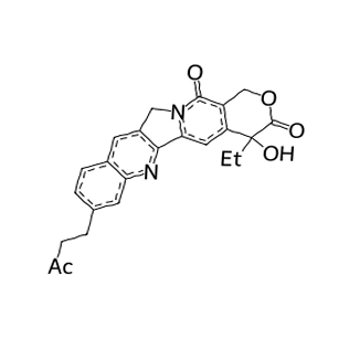 CCC1(O)C(=O)OCc2c1cc1n(c2=O)Cc2cc3ccc(CCC(C)=O)cc3nc2-1